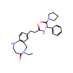 CCN1Cc2cc(CCC(=O)N[C@H](C(=O)N3CCCC3)c3ccccc3)ccc2NCCC1=O